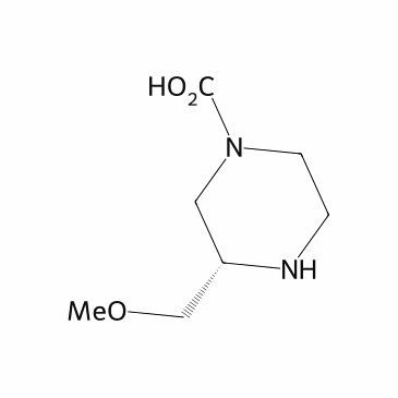 COC[C@@H]1CN(C(=O)O)CCN1